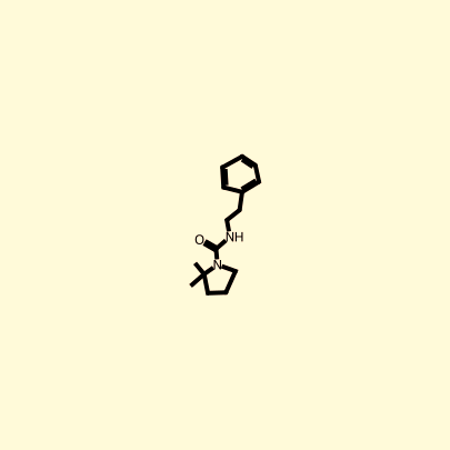 CC1(C)CCCN1C(=O)NCCc1ccccc1